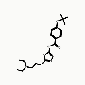 CCN(CC)CCSc1nnc(NC(=O)c2ccc(OC(C)(C)C)cc2)s1